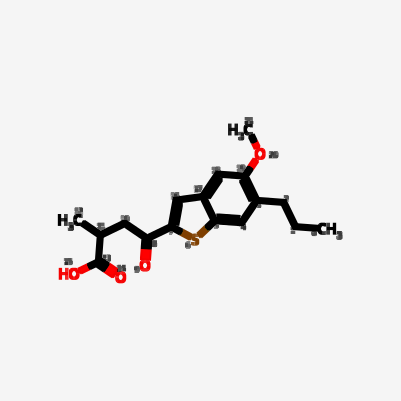 CCCc1cc2sc(C(=O)CC(C)C(=O)O)cc2cc1OC